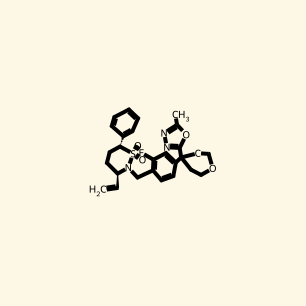 C=C[C@H]1CC[C@H](c2ccccc2)S(=O)(=O)N1Cc1ccc(C2(c3nnc(C)o3)CCOCC2)cc1F